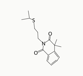 CC(C)SCCCN1C(=O)c2ccccc2C(C)(C)C1=O